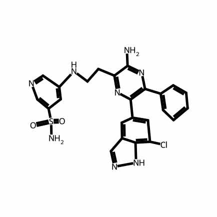 Nc1nc(-c2ccccc2)c(-c2cc(Cl)c3[nH]ncc3c2)nc1CCNc1cncc(S(N)(=O)=O)c1